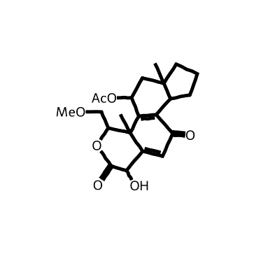 COCC1OC(=O)C(O)C2=CC(=O)C3=C(C(OC(C)=O)CC4(C)CCCC34)C21C